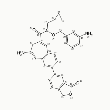 NC1=Nc2cc(-c3ccc4c(c3)C(=O)OC4)ccc2C=C(C(=O)N(CC2CC2)OCc2cccc(N)c2)C1